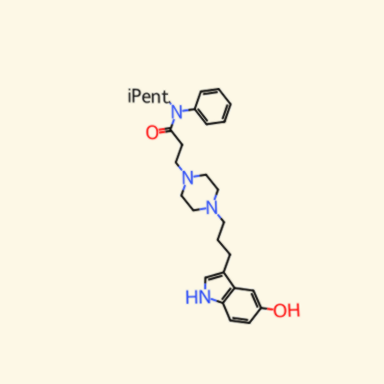 CCCC(C)N(C(=O)CCN1CCN(CCCc2c[nH]c3ccc(O)cc23)CC1)c1ccccc1